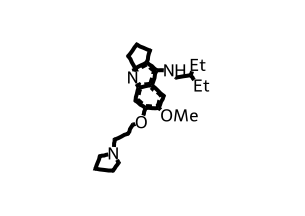 CCC(CC)CNc1c2c(nc3cc(OCCCN4CCCC4)c(OC)cc13)CCC2